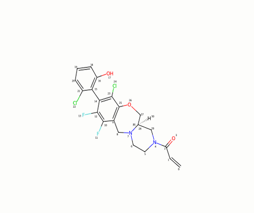 C=CC(=O)N1CCN2Cc3c(F)c(F)c(-c4c(O)cccc4Cl)c(Cl)c3OC[C@H]2C1